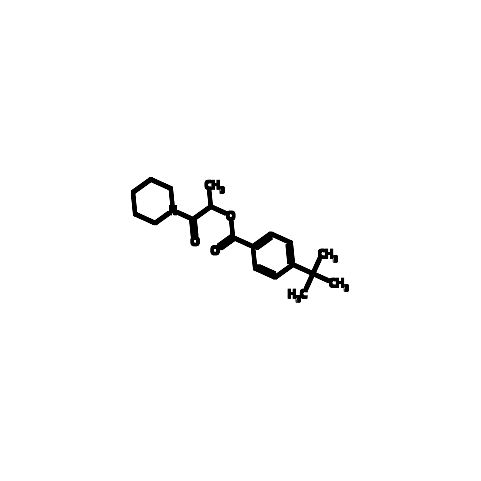 CC(OC(=O)c1ccc(C(C)(C)C)cc1)C(=O)N1CCCCC1